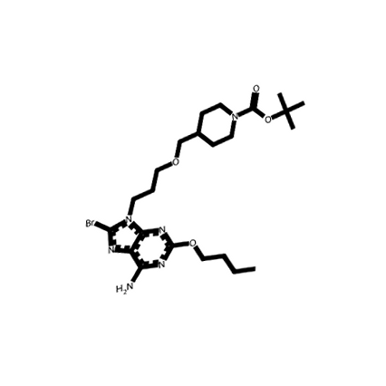 CCCCOc1nc(N)c2nc(Br)n(CCCOCC3CCN(C(=O)OC(C)(C)C)CC3)c2n1